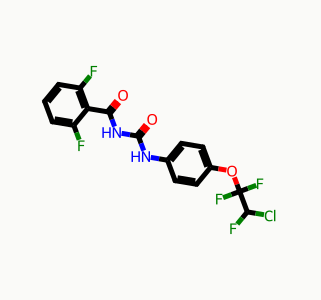 O=C(NC(=O)c1c(F)cccc1F)Nc1ccc(OC(F)(F)C(F)Cl)cc1